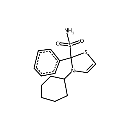 NS(=O)(=O)C1(c2ccccc2)SC=CN1C1CCCCC1